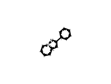 [c]1c(-c2ccccc2)nn2ccccc12